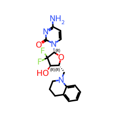 Nc1ccn([C@@H]2O[C@H](CN3CCCc4ccccc43)[C@@H](O)C2(F)F)c(=O)n1